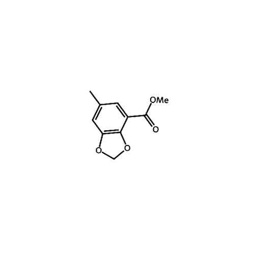 COC(=O)c1cc(C)cc2c1OCO2